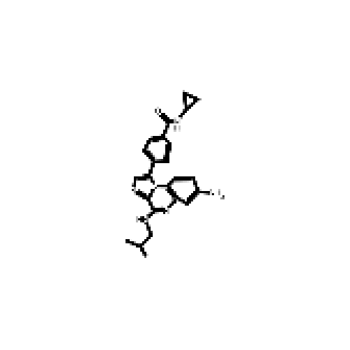 CC(C)CNc1nc2cc(N)ccc2n2c(-c3ccc(C(=O)NC4CC4)cc3)cnc12